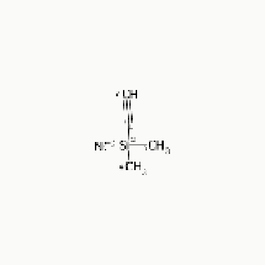 C#C[Si](C)(C)C#N